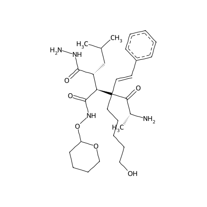 CC(C)C[C@@H](C(=O)NN)[C@H](C(=O)NOC1CCCCO1)C(/C=C/c1ccccc1)(CCCCCO)C(=O)[C@@H](C)N